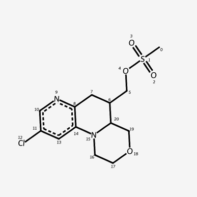 CS(=O)(=O)OCC1Cc2ncc(Cl)cc2N2CCOCC12